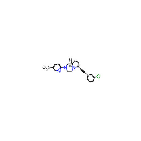 O=[N+]([O-])c1ccc(N2CCN3[C@@H](CC[C@H]3C#Cc3cccc(Cl)c3)C2)nc1